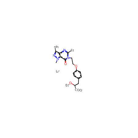 CCCc1nn(C)c2c(=O)n(CCOc3ccc(CC(OCC)C(=O)[O-])cc3)c(CC)nc12.[Li+]